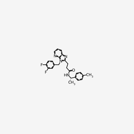 Cc1ccc([C@H](C)NC(=O)CCc2nc3cccnc3n2Cc2ccc(F)c(F)c2)cc1